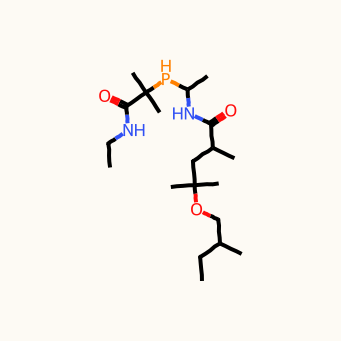 CCNC(=O)C(C)(C)PC(C)NC(=O)C(C)CC(C)(C)OCC(C)CC